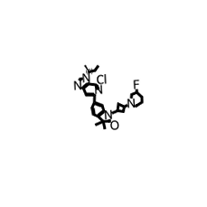 CC[C@H](C)n1cnc2cc(-c3ccc4c(c3)N(C3CC(N5CCCC(F)C5)C3)C(=O)C4(C)C)nc(Cl)c21